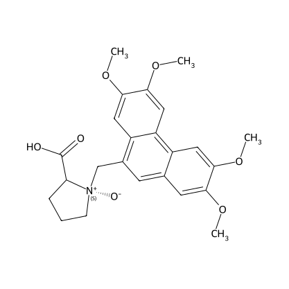 COc1cc2cc(C[N@@+]3([O-])CCCC3C(=O)O)c3cc(OC)c(OC)cc3c2cc1OC